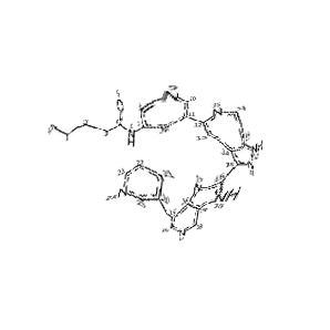 CCCCC(=O)Nc1cncc(-c2cc3c(-c4nc5c(-c6cccnc6)cncc5[nH]4)n[nH]c3cn2)c1